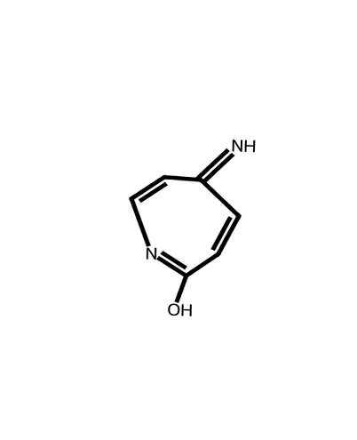 N=c1ccnc(O)cc1